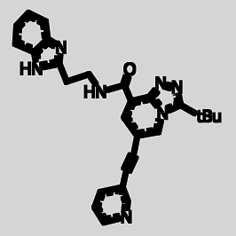 CC(C)(C)c1nnc2c(C(=O)NCCc3nc4ccccc4[nH]3)cc(C#Cc3cccnc3)cn12